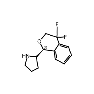 FC1(F)CO[C@H](C2CCCN2)c2ccccc21